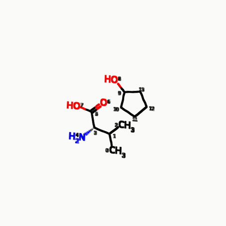 CC(C)[C@H](N)C(=O)O.OC1CCCC1